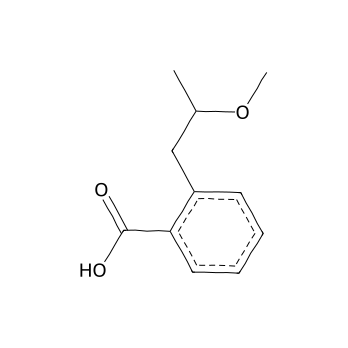 COC(C)Cc1ccccc1C(=O)O